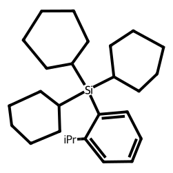 CC(C)c1ccccc1[Si](C1CCCCC1)(C1CCCCC1)C1CCCCC1